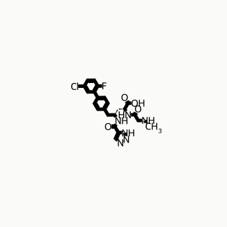 CNCC(=O)N[C@H](C[C@@H](Cc1ccc(-c2cc(Cl)ccc2F)cc1)NC(=O)c1cnn[nH]1)C(=O)O